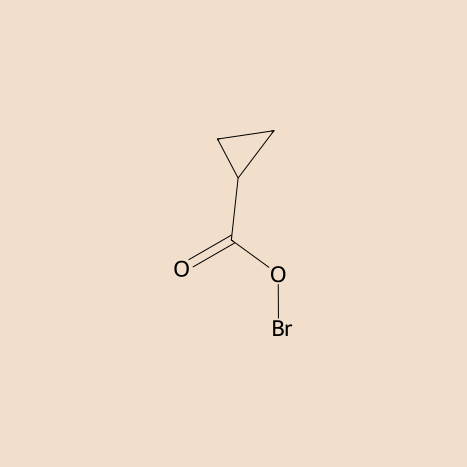 O=C(OBr)C1CC1